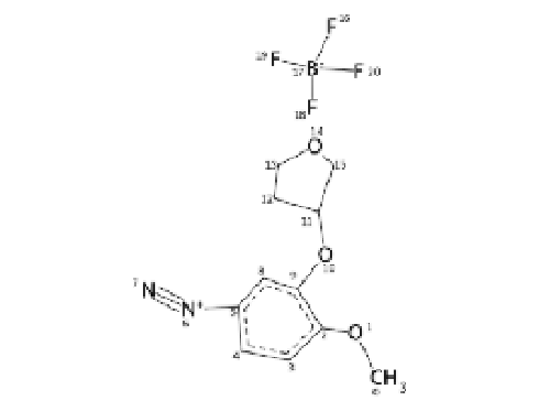 COc1ccc([N+]#N)cc1OC1CCOC1.F[B-](F)(F)F